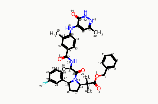 CCC(CC)(C(=O)OCc1ccccc1)[C@H]1CC[C@@H](c2cccc(F)c2)N1C(=O)[C@@H](C)NC(=O)c1ccc(Nc2cc(C)n[nH]c2=O)c(C)c1